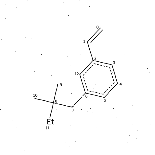 C=Cc1cccc(CC(C)(C)CC)c1